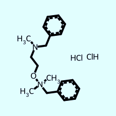 CN(CCO[N+](C)(C)Cc1ccccc1)Cc1ccccc1.Cl.Cl